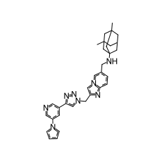 CC12CC3CC(C)(C1)CC(NCc1ccc4nc(Cn5cc(-c6cncc(-n7cccc7)c6)nn5)cn4c1)(C3)C2